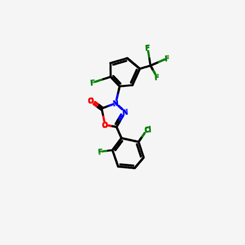 O=c1oc(-c2c(F)cccc2Cl)nn1-c1cc(C(F)(F)F)ccc1F